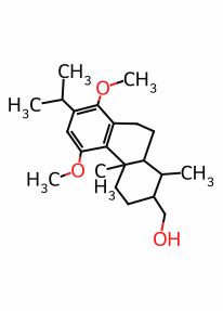 COc1cc(C(C)C)c(OC)c2c1C1(C)CCC(CO)C(C)C1CC2